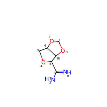 N=C(N)C1OCC2OCOC21